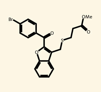 COC(=O)CCSCc1c(C(=O)c2ccc(Br)cc2)oc2ccccc12